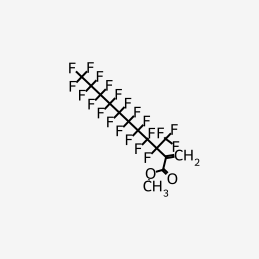 C=C(C(=O)OC)C(F)(C(F)(F)F)C(F)(F)C(F)(F)C(F)(F)C(F)(F)C(F)(F)C(F)(F)C(F)(F)C(F)(F)F